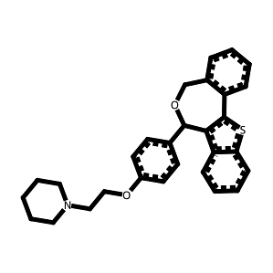 c1ccc2c(c1)COC(c1ccc(OCCN3CCCCC3)cc1)c1c-2sc2ccccc12